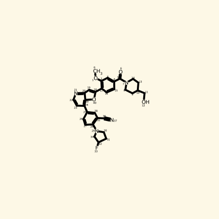 COc1cc(C(=O)N2CCC(CO)CC2)ccc1-c1cc2nccc(-c3ccc(N4CCC(F)C4)c(C#N)c3)c2o1